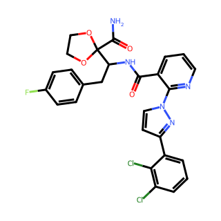 NC(=O)C1(C(Cc2ccc(F)cc2)NC(=O)c2cccnc2-n2ccc(-c3cccc(Cl)c3Cl)n2)OCCO1